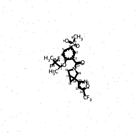 C[C@H](Oc1ccc(S(C)(=O)=O)cc1C(=O)N1CC2CC2(c2cc(C(F)(F)F)on2)C1)C(C)(F)F